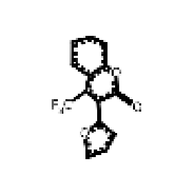 O=c1oc2ccccc2c(C(F)(F)F)c1-c1ccco1